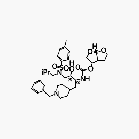 Cc1ccc(S(=O)(=O)N(CC(C)C)C[C@@H](O)[C@H](CC2CCN(Cc3ccccc3)CC2)NC(=O)OC2CO[C@H]3OCCC23)cc1